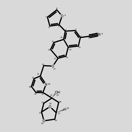 N#Cc1cc(-c2ccco2)c2ccc(OCc3cccc([C@]4(O)CC5OC[C@H](C4)O5)n3)cc2c1